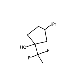 CC(C)C1CCC(O)(C(C)(F)F)C1